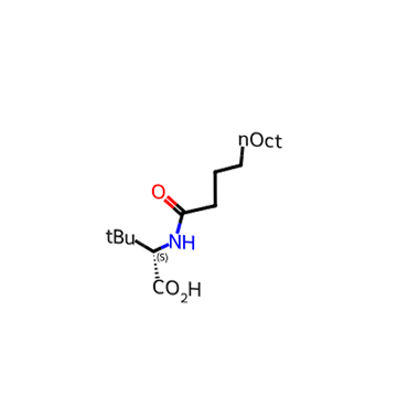 CCCCCCCCCCCC(=O)N[C@H](C(=O)O)C(C)(C)C